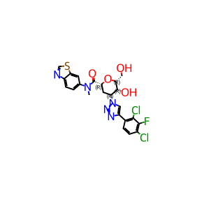 CN(C(=O)[C@H]1C[C@@H](n2cc(-c3ccc(Cl)c(F)c3Cl)nn2)[C@@H](O)[C@@H](CO)O1)c1ccc2ncsc2c1